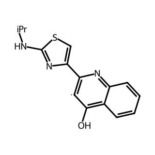 CC(C)Nc1nc(-c2[c]c(O)c3ccccc3n2)cs1